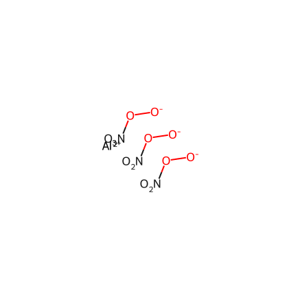 O=[N+]([O-])O[O-].O=[N+]([O-])O[O-].O=[N+]([O-])O[O-].[Al+3]